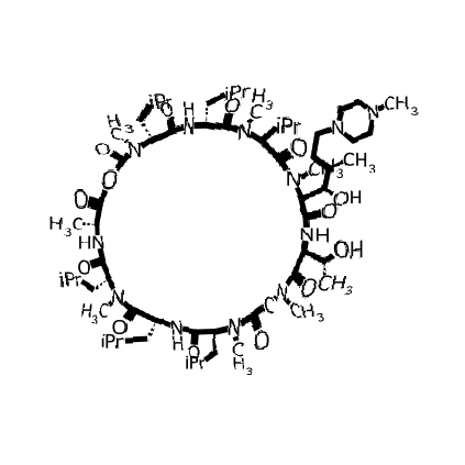 CC(C)C[C@@H]1C(=O)N[C@H](CC(C)C)C(=O)N(C)C(C(C)C)C(=O)N(C)C([C@H](O)[C@H](C)CCN2CCN(C)CC2)C(=O)NC([C@@H](C)O)C(=O)N(C)CC(=O)N(C)[C@@H](CC(C)C)C(=O)N[C@H](CC(C)C)C(=O)N(C)[C@H](CC(C)C)C(=O)N[C@H](C)C(=O)OC(=O)N1C